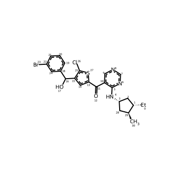 CC[C@H]1C[C@@H](Nc2ncncc2C(=O)c2cc(C(O)c3cccc(Br)c3)c(Cl)s2)C[C@@H]1C